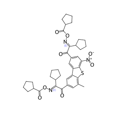 Cc1cc(C(=O)/C(=N/OC(=O)C2CCCC2)C2CCCC2)cc2c1sc1c([N+](=O)[O-])cc(C(=O)/C(=N/OC(=O)C3CCCC3)C3CCCC3)cc12